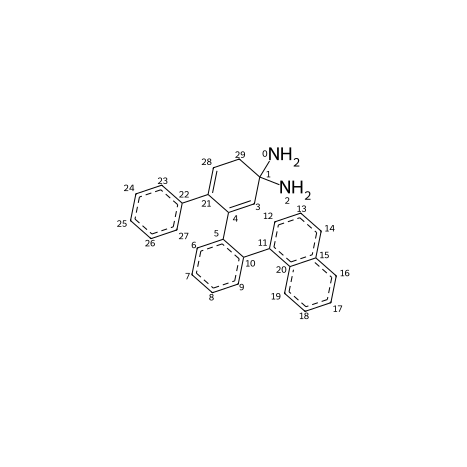 NC1(N)C=C(c2ccccc2-c2cccc3ccccc23)C(c2ccccc2)=CC1